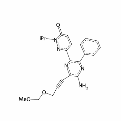 COCOCC#Cc1nc(-c2ccc(=O)n(C(C)C)n2)c(-c2ccccc2)nc1N